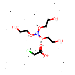 O=C(O)CCl.OCCON(OCCO)OCCO